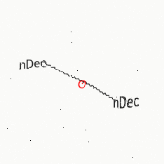 CCCCCCCCCCCCCCCCCCCCCCCCCCCCCC(=O)CCCCCCCCCCCCCCCCCCCCCCCCCCCCC